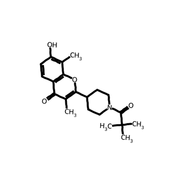 Cc1c(C2CCN(C(=O)C(C)(C)C)CC2)oc2c(C)c(O)ccc2c1=O